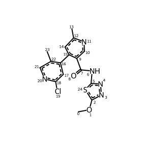 COc1nnc(NC(=O)c2cnc(C)cc2-c2cc(Cl)ncc2C)s1